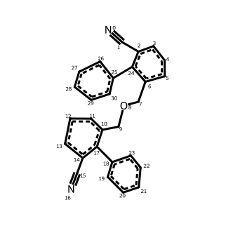 N#Cc1cccc(COCc2cccc(C#N)c2-c2ccccc2)c1-c1ccccc1